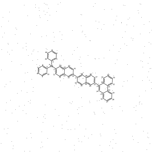 c1ccc(N(c2ccccc2)c2ccc3cc(-c4ccc5cc(-c6cc7ccccc7c7ccccc67)ccc5c4)ccc3c2)cc1